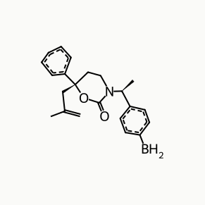 Bc1ccc([C@H](C)N2CC[C@@](CC(=C)C)(c3ccccc3)OC2=O)cc1